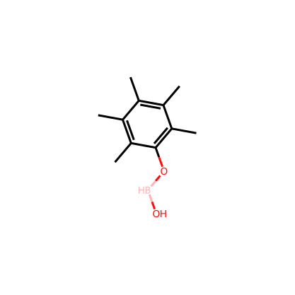 Cc1c(C)c(C)c(OBO)c(C)c1C